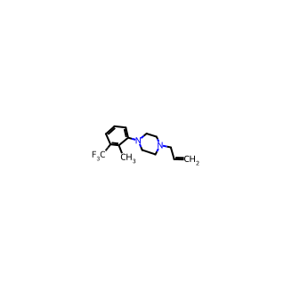 C=CCN1CCN(c2cccc(C(F)(F)F)c2C)CC1